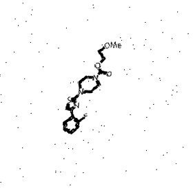 COCCOC(=O)N1CCN(c2nc(-c3ccccc3F)cs2)CC1